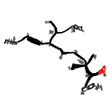 CCCCCCC=CC(CCC(C)(C)C(=O)C(=O)O)C(C)CCCCCCCC